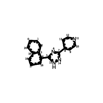 c1ccc2c(-c3nc(-c4ccncc4)n[nH]3)cccc2c1